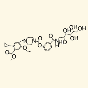 CCOc1cc(C(=O)OC)c(C2CC2)cc1CN1CCN(C(=O)Oc2cccc(C(=O)NCC(O)C(O)C(O)C(O)CO)c2)CC1